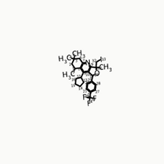 CC1CC(C)(C)Cc2nc3c(c(C4CCCC4)c21)C(c1ccc(C(F)(F)F)cc1)OC3(C)CI